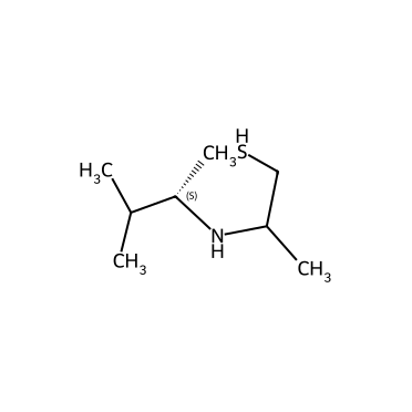 CC(CS)N[C@@H](C)C(C)C